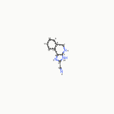 N#Cc1nc2c(ncc3ccccc32)[nH]1